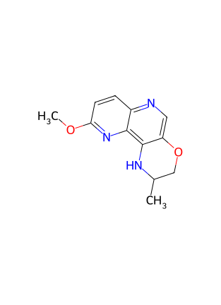 COc1ccc2ncc3c(c2n1)NC(C)CO3